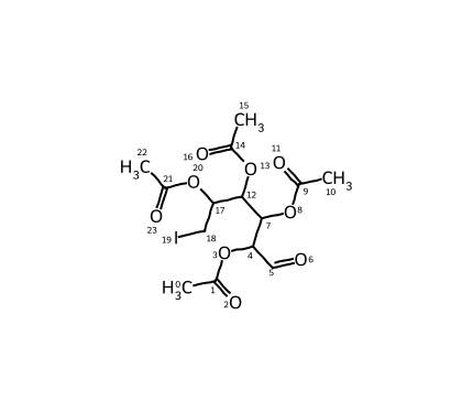 CC(=O)OC(C=O)C(OC(C)=O)C(OC(C)=O)C(CI)OC(C)=O